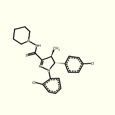 C[C@@H]1C(C(=S)NN2CCCCC2)=NN(c2ccccc2Cl)[C@H]1c1ccc(Cl)cc1